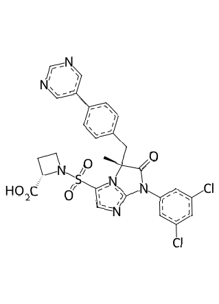 C[C@@]1(Cc2ccc(-c3cncnc3)cc2)C(=O)N(c2cc(Cl)cc(Cl)c2)c2ncc(S(=O)(=O)N3CC[C@H]3C(=O)O)n21